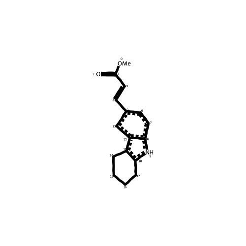 COC(=O)C=Cc1ccc2[nH]c3c(c2c1)CCCC3